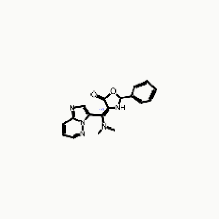 CN(C)/C(=C1\NC(c2ccccc2)OC1=O)c1cnc2cccnn12